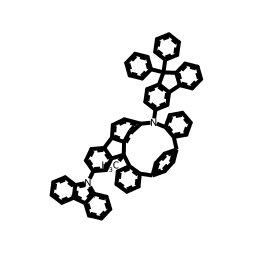 CC12c3ccccc3-c3ccc(cc3)-c3ccccc3N(c3ccc4c(c3)-c3ccccc3C4(c3ccccc3)c3ccccc3)c3ccc(c1c3)-c1ccc(-n3c4ccccc4c4ccccc43)cc12